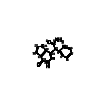 NC(=O)C(c1ccccn1)c1c[nH]c(=O)c2ccsc12